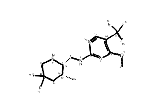 COc1nc(NC[C@H]2NCC(F)(F)C[C@H]2C)ncc1C(F)(F)F